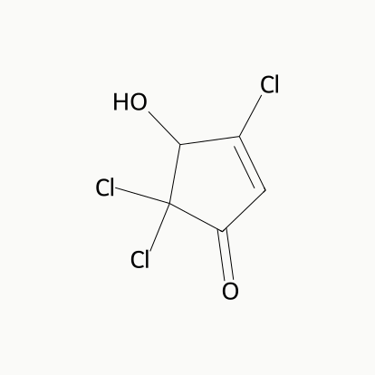 O=C1C=C(Cl)C(O)C1(Cl)Cl